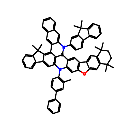 Cc1cc(-c2ccccc2)ccc1N1c2cc3oc4cc5c(cc4c3cc2B2c3c1cc1c(c3-c3cc4ccccc4cc3N2c2ccc3c(c2)C(C)(C)c2ccccc2-3)C(C)(C)c2ccccc2-1)C(C)(C)CCC5(C)C